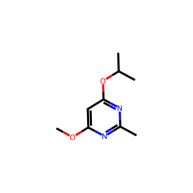 COc1cc(OC(C)C)nc(C)n1